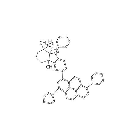 CC1(C)CCCC2(C)c3cc(-c4cc(-c5ccccc5)c5ccc6ccc(-c7ccccc7)c7ccc4c5c67)ccc3N(c3ccccc3)C12C